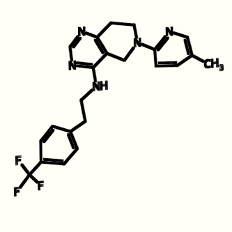 Cc1ccc(N2CCc3ncnc(NCCc4ccc(C(F)(F)F)cc4)c3C2)nc1